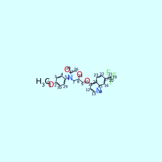 COc1ccc(N2CC(COc3ccnc4cc(C(F)(F)F)ccc34)OCC2=O)cc1